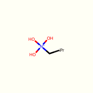 CC(C)C[N+](O)(O)O